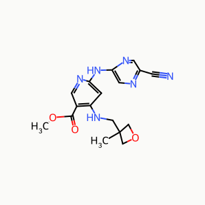 COC(=O)c1cnc(Nc2cnc(C#N)cn2)cc1NCC1(C)COC1